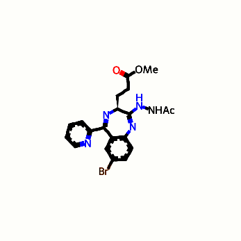 COC(=O)CC[C@@H]1N=C(c2ccccn2)c2cc(Br)ccc2N=C1NNC(C)=O